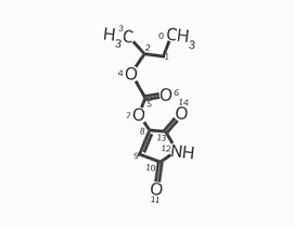 CCC(C)OC(=O)OC1=CC(=O)NC1=O